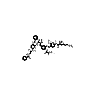 C[C@H](N)C(=O)Oc1ccc(C[C@H](N)C(=O)Oc2ccccc2/N=N/c2ccc(NC(=O)CNC(=O)c3ccccc3)nc2N)cc1/N=N/c1ccc(NC(=O)[C@@H](N)CCCCN)nc1N